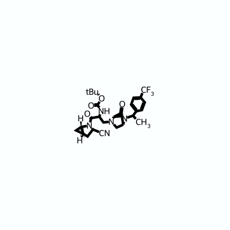 CC(c1ccc(C(F)(F)F)cc1)N1C(=O)C2CC1CN2CC(NC(=O)OC(C)(C)C)C(=O)N1C(C#N)C[C@@H]2C[C@@H]21